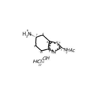 CC(=O)Nc1nc2c(s1)C[C@@H](N)CC2.Cl.Cl